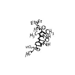 C#CCN(CCO)C(=O)c1ccc2c(c1)NC(=O)/C2=C\c1[nH]c(C)c(C(=O)NCCN(CC)CC)c1C